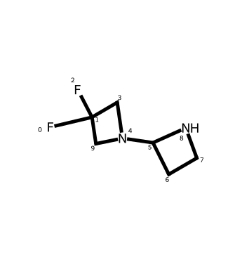 FC1(F)CN(C2CCN2)C1